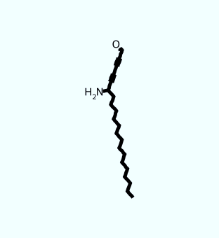 CCCCCCCCCCCCCCCC(N)C#CC#CC=O